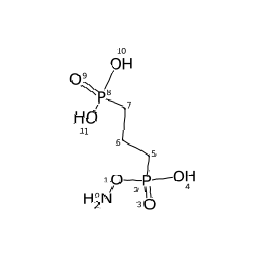 NOP(=O)(O)CCCP(=O)(O)O